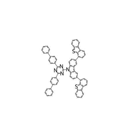 c1ccc(-c2ccc(-c3nc(-c4ccc(-c5ccccc5)cc4)nc(-n4c5ccc(-c6cccc7c6sc6ccccc67)cc5c5cc(-c6cccc7c6sc6ccccc67)ccc54)n3)cc2)cc1